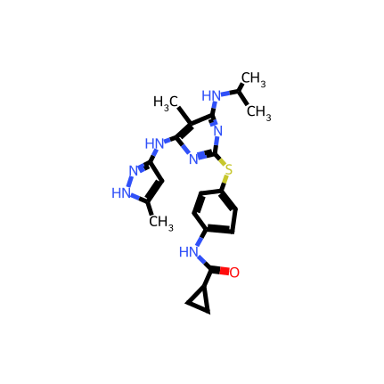 Cc1cc(Nc2nc(Sc3ccc(NC(=O)C4CC4)cc3)nc(NC(C)C)c2C)n[nH]1